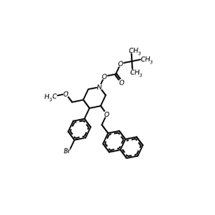 COCC1CN(OC(=O)OC(C)(C)C)CC(OCc2ccc3ccccc3c2)C1c1ccc(Br)cc1